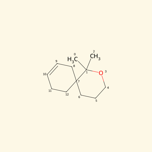 CC1(C)OCCCC12CC=CCC2